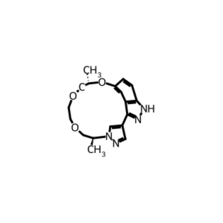 C[C@H]1COCCOC[C@H](C)n2cc(cn2)-c2n[nH]c3ccc(cc23)O1